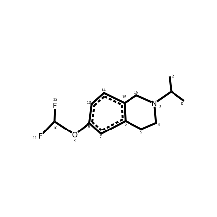 CC(C)N1CCc2cc(OC(F)F)ccc2C1